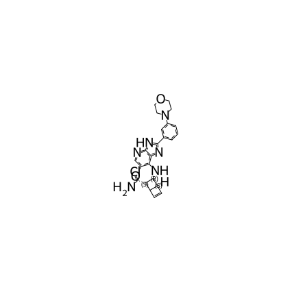 NC(=O)[C@H]1C2C=C[C@@H]2[C@H]1Nc1c(Cl)cnc2[nH]c(-c3cccc(N4CCOCC4)c3)nc12